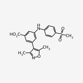 Cc1noc(C)c1-c1cc(Nc2ccc(S(C)(=O)=O)cc2)cc(C(=O)O)c1